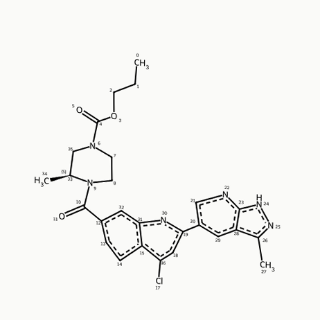 CCCOC(=O)N1CCN(C(=O)c2ccc3c(Cl)cc(-c4cnc5[nH]nc(C)c5c4)nc3c2)[C@@H](C)C1